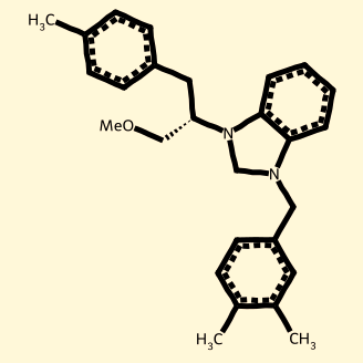 COC[C@H](Cc1ccc(C)cc1)N1CN(Cc2ccc(C)c(C)c2)c2ccccc21